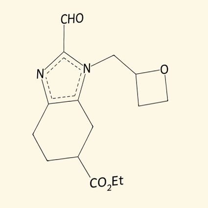 CCOC(=O)C1CCc2nc(C=O)n(CC3CCO3)c2C1